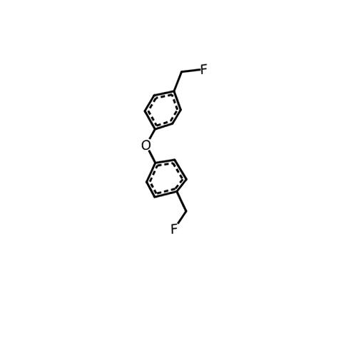 FCc1ccc(Oc2ccc(CF)cc2)cc1